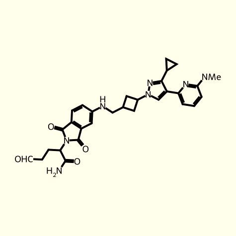 CNc1cccc(-c2cn(C3CC(CNc4ccc5c(c4)C(=O)N(C(CCC=O)C(N)=O)C5=O)C3)nc2C2CC2)n1